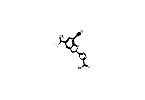 CC(C)c1cc(C#N)c2sc(-c3nnc(C(=O)O)s3)cc2c1